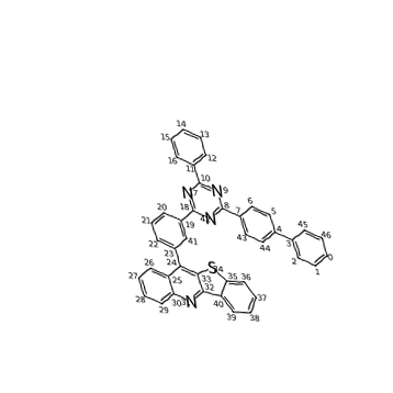 c1ccc(-c2ccc(-c3nc(-c4ccccc4)nc(-c4cccc(-c5c6ccccc6nc6c5sc5ccccc56)c4)n3)cc2)cc1